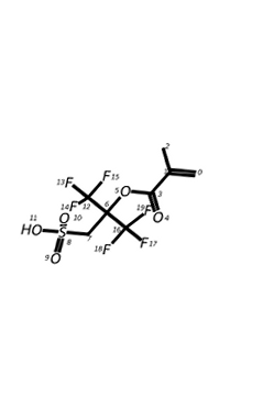 C=C(C)C(=O)OC(CS(=O)(=O)O)(C(F)(F)F)C(F)(F)F